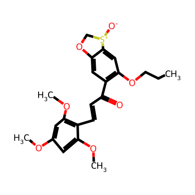 CCCOc1cc2c(cc1C(=O)C=Cc1c(OC)cc(OC)cc1OC)OC[S+]2[O-]